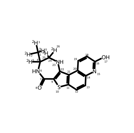 [2H]C([2H])([2H])C1([2H])NC(=O)c2sc3ccc4nc(O)ccc4c3c2NC1([2H])[2H]